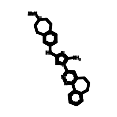 CN[C@H]1CCc2ccc(Nc3nc(N)n(-c4cc5c(nn4)-c4ccccc4CCC5)n3)cc2CC1